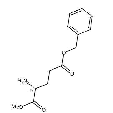 COC(=O)[C@H](N)CCC(=O)OCc1ccccc1